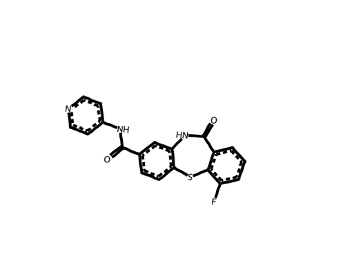 O=C(Nc1ccncc1)c1ccc2c(c1)NC(=O)c1cccc(F)c1S2